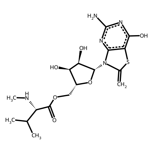 C=C1Sc2c(O)nc(N)nc2N1[C@@H]1O[C@H](COC(=O)[C@@H](NC)C(C)C)[C@@H](O)[C@H]1O